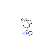 CC(=O)C(=Cc1cccc([N+](=O)[O-])c1)c1c[nH]c2ccccc12